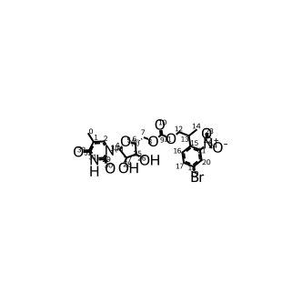 Cc1cn([C@@H]2O[C@H](COC(=O)OCC(C)c3ccc(Br)cc3[N+](=O)[O-])C(O)C2O)c(=O)[nH]c1=O